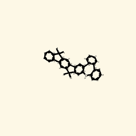 CC1(C)c2ccccc2-c2cc3c(cc21)-c1cc2c(cc1C3(C)C)Oc1ccccc1-c1ccccc1-2